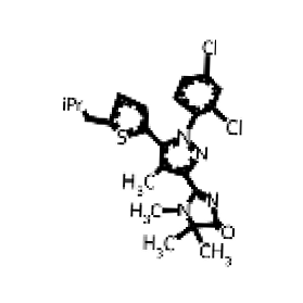 Cc1c(C2=NC(=O)C(C)(C)N2C)nn(-c2ccc(Cl)cc2Cl)c1-c1ccc(CC(C)C)s1